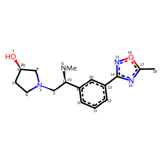 CN[C@H](CN1CC[C@@H](O)C1)c1cccc(-c2noc(C)n2)c1